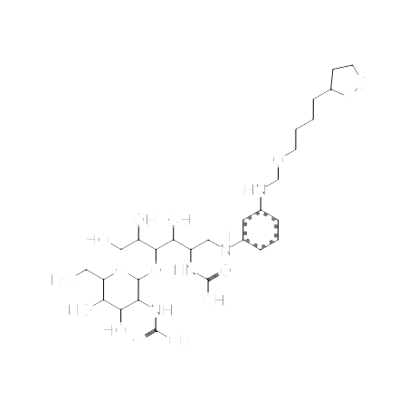 CC(=O)NC(CNc1cccc(NCOCCCCC2CCSS2)c1)C(O)C(OC1OC(CO)C(O)C(O)C1NC(C)=O)C(O)CO